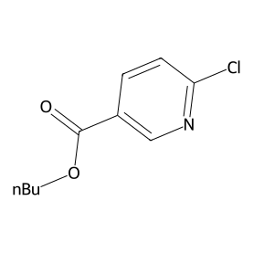 CCCCOC(=O)c1ccc(Cl)nc1